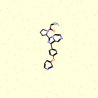 C=CC(=O)N1CCCC1c1nc(-c2ccc(Oc3cccnc3)cc2)c2cnccn12